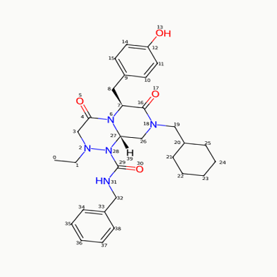 CCN1CC(=O)N2[C@@H](Cc3ccc(O)cc3)C(=O)N(CC3CCCCC3)C[C@@H]2N1C(=O)NCc1ccccc1